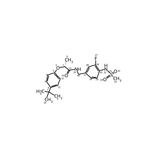 C[C@@H](Oc1ccc(C(C)(C)C)cc1)C(=O)NCc1ccc(NS(C)(=O)=O)c(F)c1